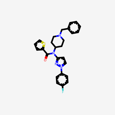 O=C(c1cccs1)N(c1ccn(-c2ccc(F)cc2)n1)C1CCN(Cc2ccccc2)CC1